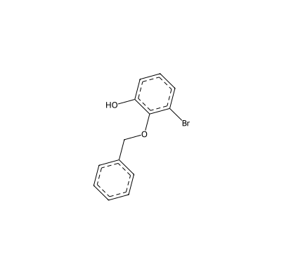 Oc1cccc(Br)c1OCc1ccccc1